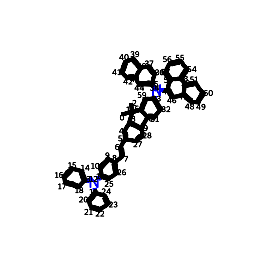 CC1(C)c2cc(/C=C/c3ccc(N(c4ccccc4)c4ccccc4)cc3)ccc2-c2ccc(N(c3ccc4ccccc4c3)c3cc4ccccc4c4ccccc34)cc21